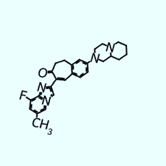 Cc1cc(F)c2nc(C3=Cc4ccc(N5CCN6CCCCC6C5)cc4CCC3=O)cn2c1